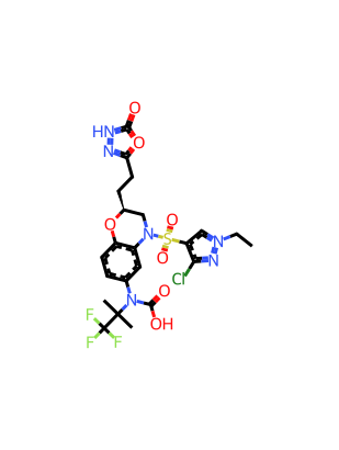 CCn1cc(S(=O)(=O)N2C[C@H](CCc3n[nH]c(=O)o3)Oc3ccc(N(C(=O)O)C(C)(C)C(F)(F)F)cc32)c(Cl)n1